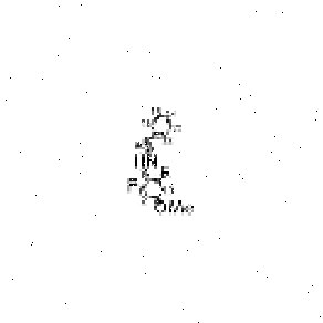 COc1cc(F)c(CN[C@@H]2C[C@H]2c2ccccc2)c(F)c1